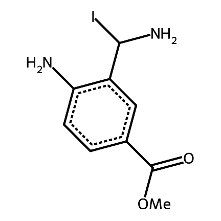 COC(=O)c1ccc(N)c(C(N)I)c1